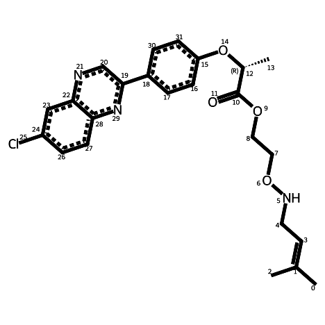 CC(C)=CCNOCCOC(=O)[C@@H](C)Oc1ccc(-c2cnc3cc(Cl)ccc3n2)cc1